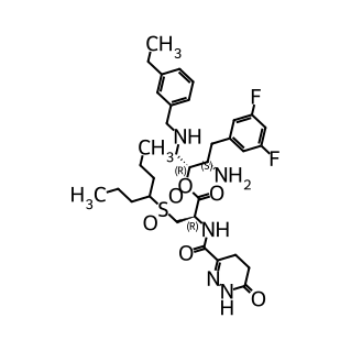 CCCC(CCC)S(=O)(=O)C[C@H](NC(=O)C1=NNC(=O)CC1)C(=O)O[C@H](CNCc1cccc(CC)c1)[C@@H](N)Cc1cc(F)cc(F)c1